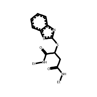 CCNC(=O)CC(Sc1nc2ccccc2s1)C(=O)NCC